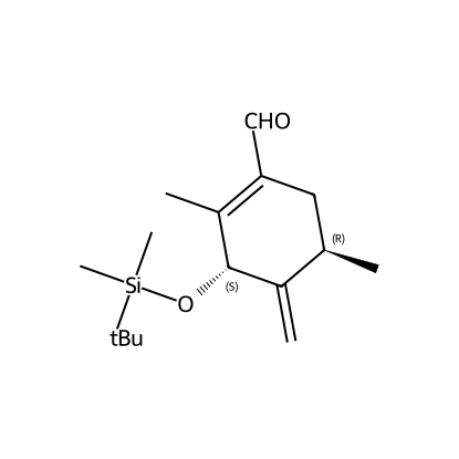 C=C1[C@H](O[Si](C)(C)C(C)(C)C)C(C)=C(C=O)C[C@H]1C